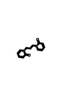 O=c1ccccn1CCCn1ccccc1=O